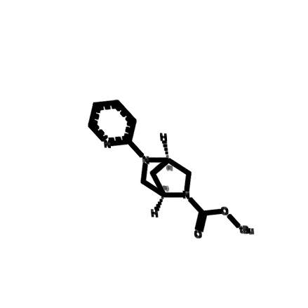 CC(C)(C)OC(=O)N1C[C@H]2C[C@@H]1CN2c1ccccn1